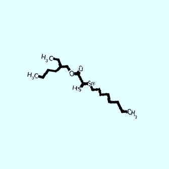 CCCCCCC[CH2][Sn][CH](S)C(=O)OCC(CC)CCCC